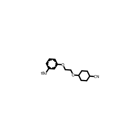 CC(C)(C)c1cccc(OCCOC2CCC(C#N)CC2)c1